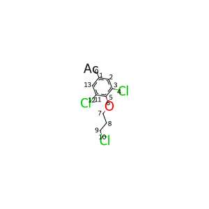 CC(=O)c1cc(Cl)c(OCCCCl)c(Cl)c1